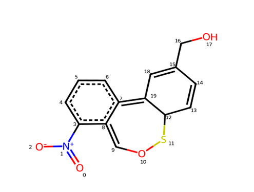 O=[N+]([O-])c1cccc2c1=COSC1C=CC(CO)=CC=21